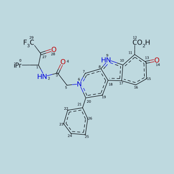 CC(C)C(NC(=O)Cn1cc2[nH]c3c(C(=O)O)c(=O)ccc3c2cc1-c1ccccc1)C(=O)C(F)(F)F